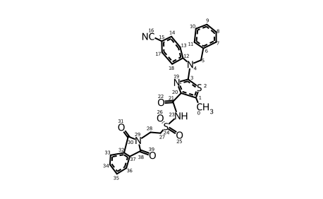 Cc1sc(N(Cc2ccccc2)c2ccc(C#N)cc2)nc1C(=O)NS(=O)(=O)CCN1C(=O)c2ccccc2C1=O